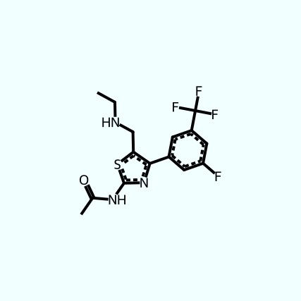 CCNCc1sc(NC(C)=O)nc1-c1cc(F)cc(C(F)(F)F)c1